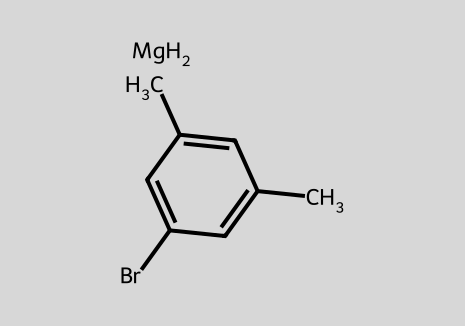 Cc1cc(C)cc(Br)c1.[MgH2]